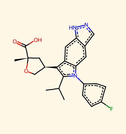 CC(C)c1c([C@H]2CO[C@](C)(C(=O)O)C2)c2cc3[nH]ncc3cc2n1-c1ccc(F)cc1